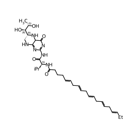 CCC=CCC=CCC=CCC=CCC=CCCCC(=O)N[C@H](C(=O)NC1=NC(=O)C2N[C@@H]([C@@H](O)[C@H](C)O)CNC2=N1)C(C)C